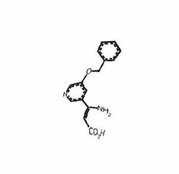 NC(=CC(=O)O)c1cncc(OCc2ccccc2)c1